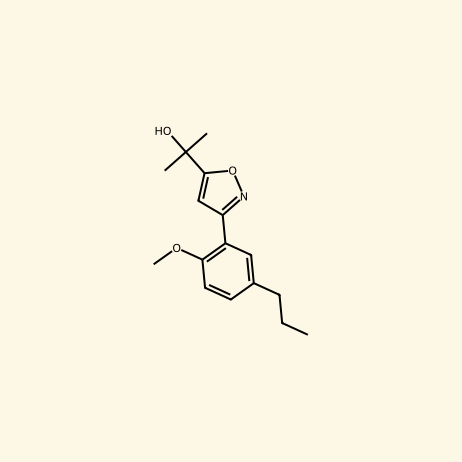 CCCc1ccc(OC)c(-c2cc(C(C)(C)O)on2)c1